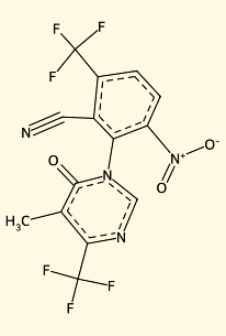 Cc1c(C(F)(F)F)ncn(-c2c([N+](=O)[O-])ccc(C(F)(F)F)c2C#N)c1=O